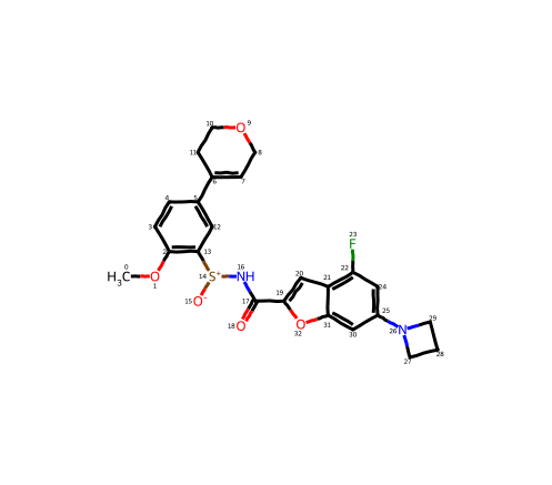 COc1ccc(C2=CCOCC2)cc1[S+]([O-])NC(=O)c1cc2c(F)cc(N3CCC3)cc2o1